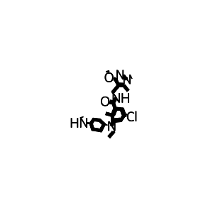 CCN(c1cc(Cl)cc(C(=O)NCc2c(OC)nn(C)c2C)c1C)[C@H]1CC[C@H](NC)CC1